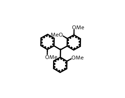 COc1ccccc1[C](c1ccccc1OC)c1cccc(OC)c1OC